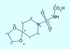 O=C(O)NS(=O)(=O)N1CCC2(CC1)OCCO2